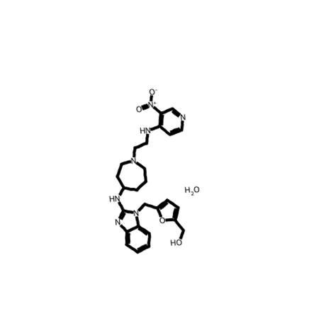 O.O=[N+]([O-])c1cnccc1NCCN1CCCC(Nc2nc3ccccc3n2Cc2ccc(CO)o2)CC1